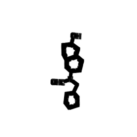 O=CN(Cc1ccccc1)c1ccc2cc(O)ccc2c1